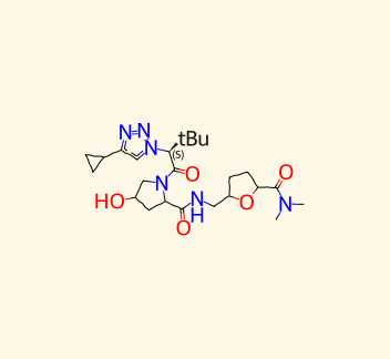 CN(C)C(=O)C1CCC(CNC(=O)C2CC(O)CN2C(=O)[C@@H](n2cc(C3CC3)nn2)C(C)(C)C)O1